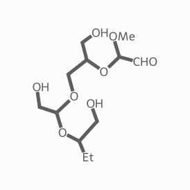 CCC(CO)OC(CO)OCC(CO)OC(C=O)OC